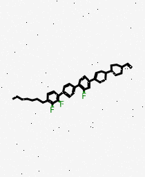 C=CC1CCC(C2CC=C(c3ccc(-c4ccc(-c5ccc(CCCCCCC)c(F)c5F)cc4)c(F)c3)CC2)CC1